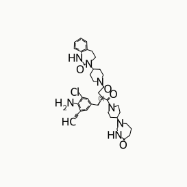 C#Cc1cc(C[C@@H](CC(=O)N2CCC(N3CCc4ccccc4NC3=O)CC2)C(=O)N2CCC(N3CCCC(=O)NC3)CC2)cc(Cl)c1N